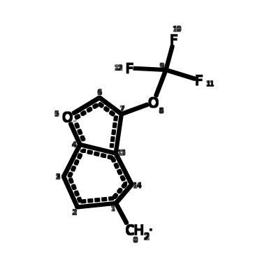 [CH2]c1ccc2occ(OC(F)(F)F)c2c1